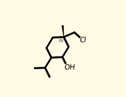 CC(C)C1CC[C@](C)(CCl)CC1O